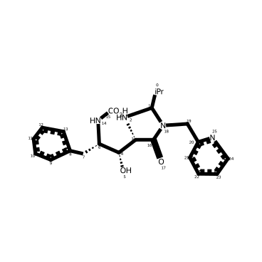 CC(C)C1N[C@@H]([C@H](O)[C@H](Cc2ccccc2)NC(=O)O)C(=O)N1Cc1ccccn1